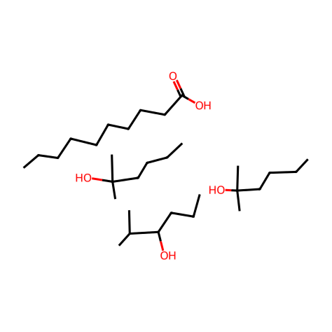 CCCC(O)C(C)C.CCCCC(C)(C)O.CCCCC(C)(C)O.CCCCCCCCCC(=O)O